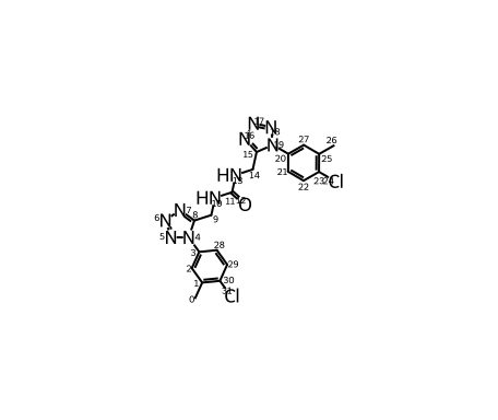 Cc1cc(-n2nnnc2CNC(=O)NCc2nnnn2-c2ccc(Cl)c(C)c2)ccc1Cl